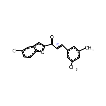 Cc1cc(C)cc(/C=C/C(=O)c2cc3cc(Cl)ccc3o2)c1